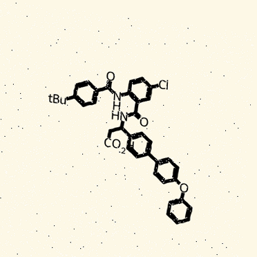 CC(C)(C)c1ccc(C(=O)Nc2ccc(Cl)cc2C(=O)NC(CC(=O)O)c2ccc(-c3ccc(Oc4ccccc4)cc3)cc2)cc1